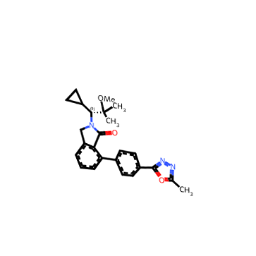 COC(C)(C)[C@@H](C1CC1)N1Cc2cccc(-c3ccc(-c4nnc(C)o4)cc3)c2C1=O